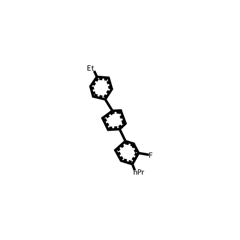 CCCc1ccc(-c2ccc(-c3ccc(CC)cc3)cc2)cc1F